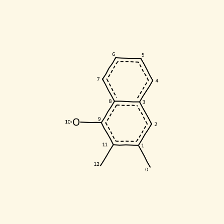 Cc1cc2ccccc2c([O])c1C